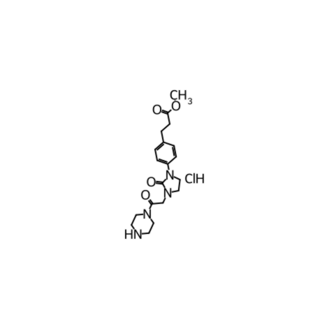 COC(=O)CCc1ccc(N2CCN(CC(=O)N3CCNCC3)C2=O)cc1.Cl